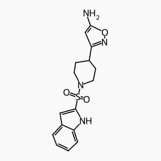 Nc1cc(C2CCN(S(=O)(=O)c3cc4ccccc4[nH]3)CC2)no1